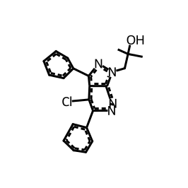 CC(C)(O)Cn1nc(-c2ccccc2)c2c(Cl)c(-c3ccccc3)nnc21